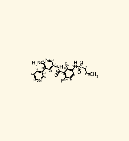 CCCS(=O)(=O)Nc1ccc(F)c(C(=O)Nc2cnc(N)c(-c3cccnc3)c2)c1F